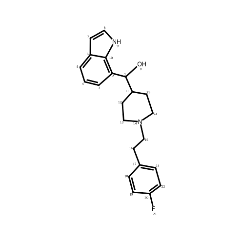 OC(c1cccc2cc[nH]c12)C1CCN(CCc2ccc(F)cc2)CC1